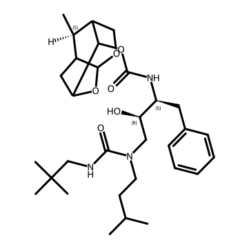 CC(C)CCN(C[C@@H](O)[C@H](Cc1ccccc1)NC(=O)OC1C2CC3C(OCC1[C@@H]3C)O2)C(=O)NCC(C)(C)C